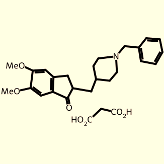 COc1cc2c(cc1OC)C(=O)C(CC1CCN(Cc3ccccc3)CC1)C2.O=C(O)CC(=O)O